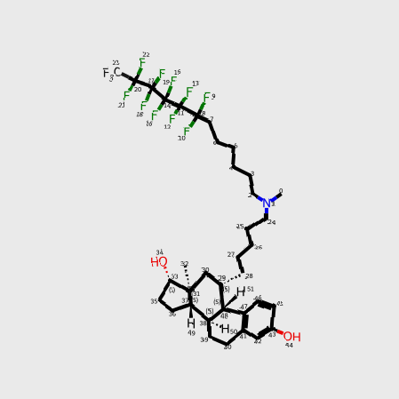 CN(CCCCCCC(F)(F)C(F)(F)C(F)(F)C(F)(F)C(F)(F)C(F)(F)F)CCCCC[C@H]1C[C@]2(C)[C@@H](O)CC[C@H]2[C@@H]2CCc3cc(O)ccc3[C@@H]12